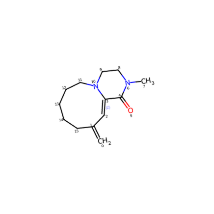 C=C1/C=C2/C(=O)N(C)CCN2CCCCC1